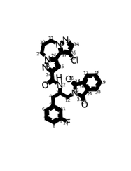 O=C(NC(Cc1cccc(F)c1)CN1C(=O)c2ccccc2C1=O)c1cc2n(n1)CCCn1ncc(Cl)c1-2